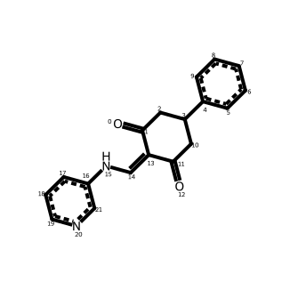 O=C1CC(c2ccccc2)CC(=O)C1=CNc1cccnc1